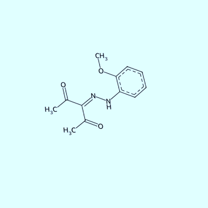 COc1ccccc1NN=C(C(C)=O)C(C)=O